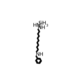 [SiH3]NNCCCCCCCCCCCNCc1ccccc1